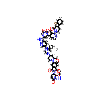 C[C@H]1CN(C2CCN3c4cc5c(cc4OCC3C2)C(=O)N(C2CCC(=O)NC2=O)C5=O)CCN1c1ccc(Nc2cc(-c3ccnc(N4CCc5c(sc6c5CCCC6)C4=O)c3CO)ncn2)nc1